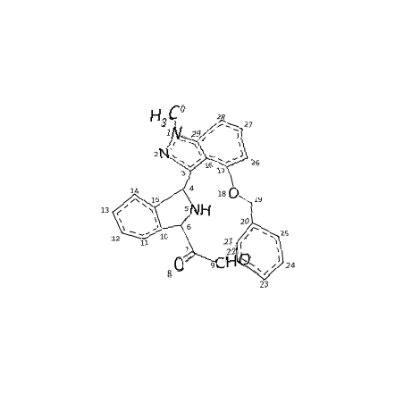 Cn1nc(C2NC(C(=O)C=O)c3ccccc32)c2c(OCc3ccccc3)cccc21